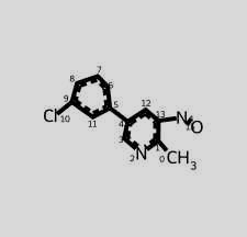 Cc1ncc(-c2cccc(Cl)c2)cc1N=O